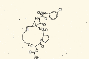 NC(=O)OC1CCCCC/C=C/C2CC2(C(=O)NS(=O)(=O)Nc2cccc(Cl)c2)NC(=O)C2CCCN2C1=O